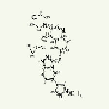 Cn1cc(-c2ccc3nnc(Sc4ccc5ncc(N6CCOCC6)c(OCC6CC6)c5c4)n3c2)cn1